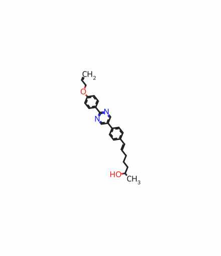 C=CCOc1ccc(-c2ncc(-c3ccc(C=CCCCC(C)O)cc3)cn2)cc1